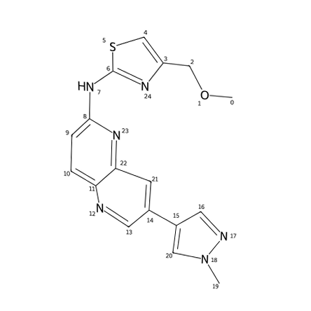 COCc1csc(Nc2ccc3ncc(-c4cnn(C)c4)cc3n2)n1